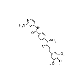 COc1cc(C=CC(=O)C(N)c2ccc(C(=O)Nc3ccnc(N)c3)cc2)cc(OC)c1OC